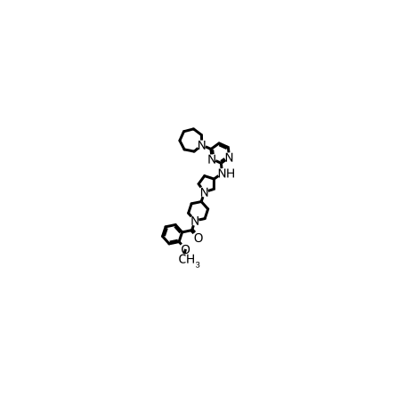 COc1ccccc1C(=O)N1CCC(N2CCC(Nc3nccc(N4CCCCCC4)n3)C2)CC1